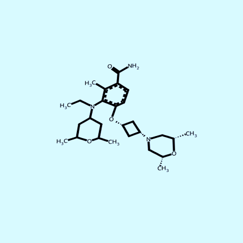 CCN(c1c(O[C@H]2C[C@@H](N3C[C@@H](C)O[C@@H](C)C3)C2)ccc(C(N)=O)c1C)C1CC(C)OC(C)C1